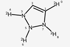 [2H]C1=CN([2H])N([2H])N1[2H]